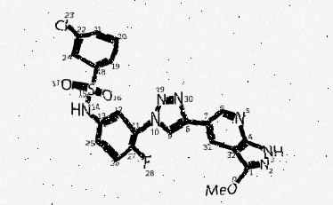 COc1n[nH]c2ncc(-c3cn(-c4cc(NS(=O)(=O)c5cccc(Cl)c5)ccc4F)nn3)cc12